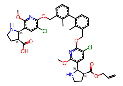 C=CCOC(=O)[C@H]1CCN[C@H]1c1cc(Cl)c(OCc2cccc(-c3cccc(COc4nc(OC)c([C@@H]5NCC[C@@H]5C(=O)O)cc4Cl)c3C)c2C)nc1OC